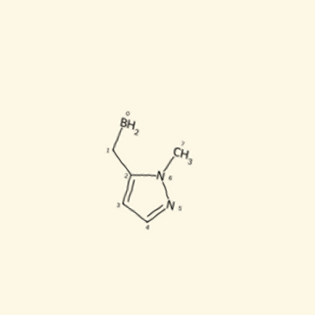 BCc1ccnn1C